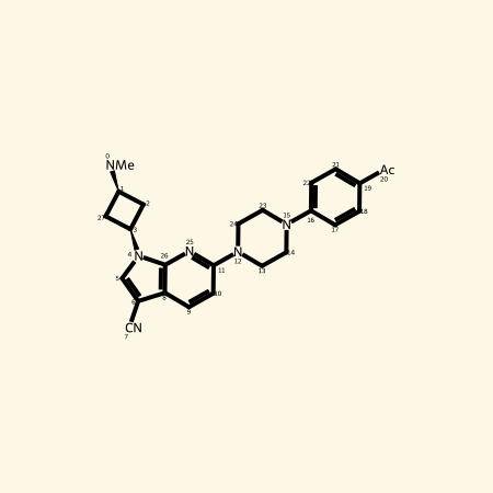 CN[C@H]1C[C@@H](n2cc(C#N)c3ccc(N4CCN(c5ccc(C(C)=O)cc5)CC4)nc32)C1